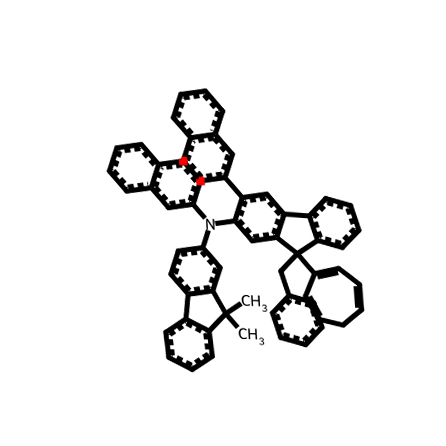 CC1(C)c2ccccc2-c2ccc(N(c3ccc4ccccc4c3)c3cc4c(cc3-c3ccc5ccccc5c3)-c3ccccc3C4(Cc3ccccc3)C3=CC=CCC=C3)cc21